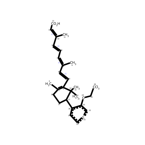 CC1=C(/C=C/C(C)=C/C=C/C(C)=C/C(=O)O)C(C)(C)C(c2ccccc2OCC(Cl)(Cl)Cl)CC1